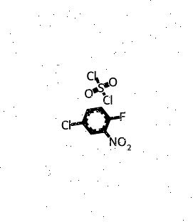 O=S(=O)(Cl)Cl.O=[N+]([O-])c1cc(Cl)ccc1F